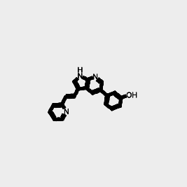 Oc1cccc(-c2cnc3[nH]cc(/C=C/c4ccccn4)c3c2)c1